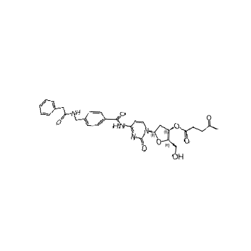 CC(=O)CCC(=O)O[C@@H]1C[C@H](n2ccc(NC(=O)c3ccc(CNC(=O)Cc4ccccc4)cc3)nc2=O)O[C@@H]1CO